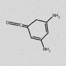 NC1=CC(=C=O)CC(N)=C1